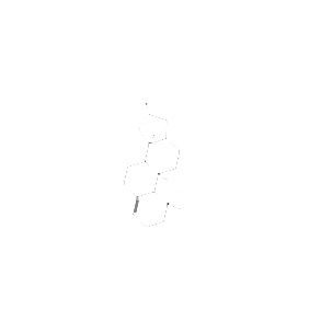 C[C@]12CC[C@H]3[C@@H](CCC4=CCCC(O)(O)[C@@]43C)[C@@H]1C[C@@H](F)C2